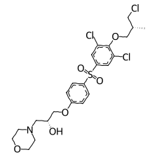 C[C@@H](CCl)COc1c(Cl)cc(S(=O)(=O)c2ccc(OC[C@H](O)CN3CCOCC3)cc2)cc1Cl